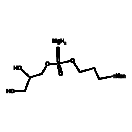 CCCCCCCCCCCCOS(=O)(=O)OCC(O)CO.[MgH2]